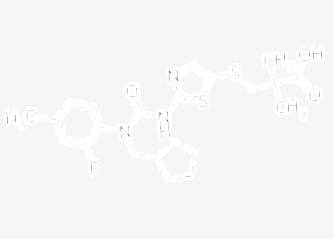 Cc1ccc(N(CC2CCCC2)C(=O)Nc2ncc(SCC(C)(C)C(=O)O)s2)c(F)c1